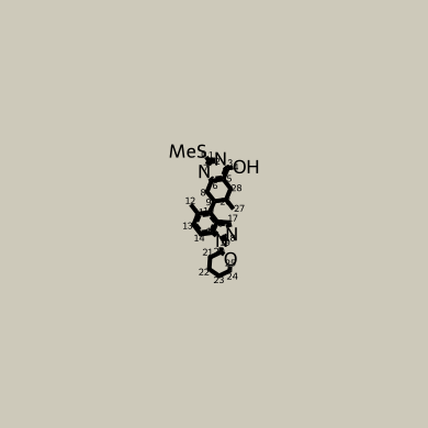 CSc1nc(O)c2c(n1)CC(c1c(C)ccc3c1cnn3C1CCCCO1)C(C)C2